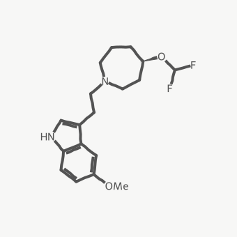 COc1ccc2[nH]cc(CCN3CCC[C@@H](OC(F)F)CC3)c2c1